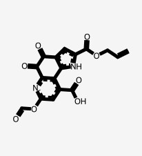 C=CCOC(=O)c1cc2c([nH]1)-c1c(C(=O)O)cc(OC=O)nc1C(=O)C2=O